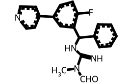 CN(C=O)C(=N)NC(c1ccccc1)c1cc(-c2ccncc2)ccc1F